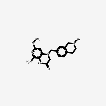 CCCCOc1cc2c(c(N)n1)NC(=O)CN2Cc1ccc2c(c1)CN(C(C)C)CC2